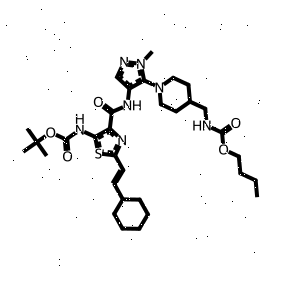 CCCCOC(=O)NCC1CCN(c2c(NC(=O)c3nc(C=CC4CCCCC4)sc3NC(=O)OC(C)(C)C)cnn2C)CC1